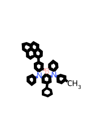 Cc1ccc(N2c3ccccc3B3c4cc(-c5ccc6ccc7cccc8ccc5c6c78)ccc4N(c4ccccc4)c4cc(C5CCCCC5)cc2c43)cc1